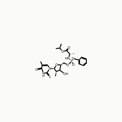 Cc1cn([C@H]2O[C@@H](CO[P@@](=O)(N[C@@H](C)C(=O)OC(C)C)Oc3ccccc3)C(O)[C@H]2C)c(=S)[nH]c1=O